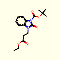 CCOC(=O)CCn1c(=O)n(C(=O)OC(C)(C)C)c2ccccc21